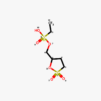 O=S1(=O)CCC(CO[SH](=O)(O)CC(F)(F)F)O1